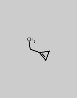 C[CH]C1=CC1